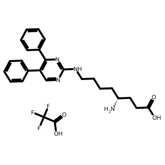 N[C@H](CCCCNc1ncc(-c2ccccc2)c(-c2ccccc2)n1)CCC(=O)O.O=C(O)C(F)(F)F